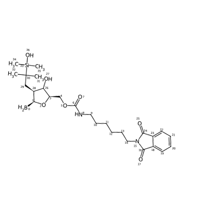 B[C@@H]1O[C@H](COC(=O)NCCCCCCN2C(=O)c3ccccc3C2=O)C(O)[C@@H]1CC(C)(C)[Si](C)(C)O